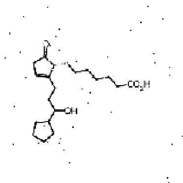 O=C(O)CCCCCC[C@H]1C(=O)CC=C1CCC(O)C1CCCC1